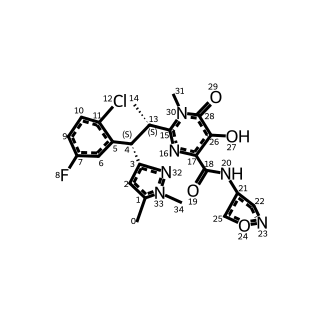 Cc1cc([C@H](c2cc(F)ccc2Cl)[C@H](C)c2nc(C(=O)Nc3cnoc3)c(O)c(=O)n2C)nn1C